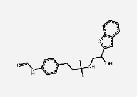 CC(C)(CCc1ccc(NC=O)cc1)NCC(O)c1cc2ccccc2o1